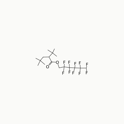 CC(C)(C)CC(C(=O)OCC(F)(F)C(F)(F)C(F)(F)C(F)(F)C(F)F)C(C)(C)C